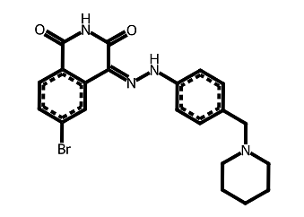 O=C1NC(=O)c2ccc(Br)cc2C1=NNc1ccc(CN2CCCCC2)cc1